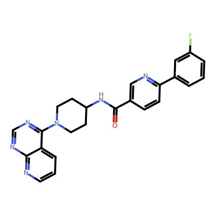 O=C(NC1CCN(c2ncnc3ncccc23)CC1)c1ccc(-c2cccc(F)c2)nc1